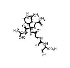 CC(C)CC(NC(=O)NCC(=O)NC(CCC(N)=O)(C(=O)NC(C)C=O)C1CCNC(N)=N1)C(=O)O